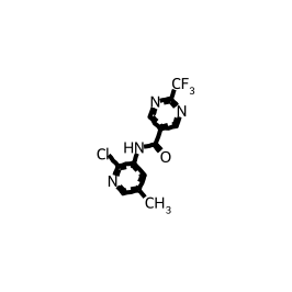 Cc1cnc(Cl)c(NC(=O)c2cnc(C(F)(F)F)nc2)c1